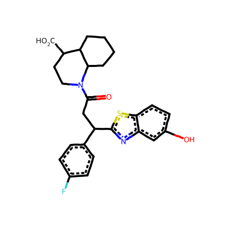 O=C(O)C1CCN(C(=O)CC(c2ccc(F)cc2)c2nc3cc(O)ccc3s2)C2CCCCC12